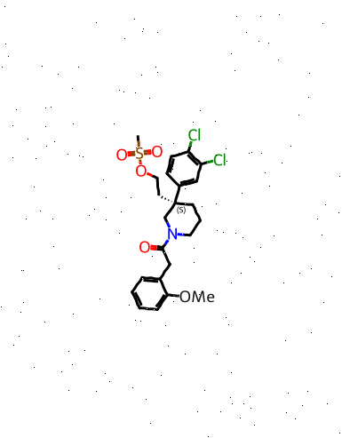 COc1ccccc1CC(=O)N1CCC[C@](CCOS(C)(=O)=O)(c2ccc(Cl)c(Cl)c2)C1